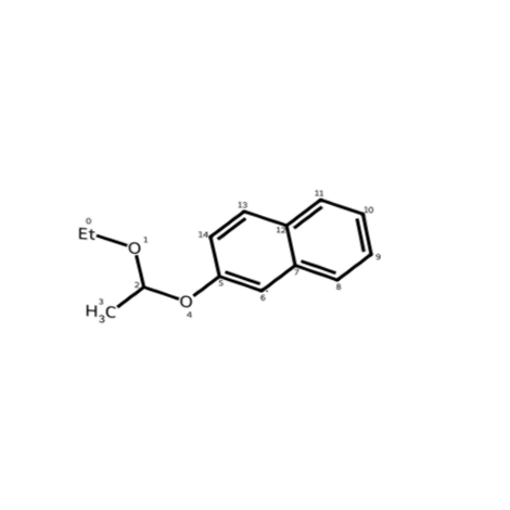 CCOC(C)Oc1[c]c2ccccc2cc1